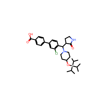 CC(C)[Si](OC1CCN(C(c2ccc(-c3ccc(C(=O)O)cc3)cc2Cl)C2CCNC2=O)CC1)(C(C)C)C(C)C